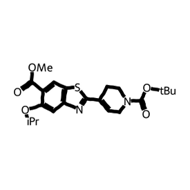 COC(=O)c1cc2sc(C3=CCN(C(=O)OC(C)(C)C)CC3)nc2cc1OC(C)C